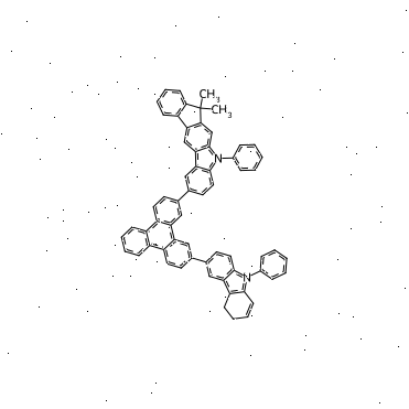 CC1(C)c2ccccc2-c2cc3c4cc(-c5ccc6c7ccccc7c7ccc(-c8ccc9c(c8)c8c(n9-c9ccccc9)C=CCC8)cc7c6c5)ccc4n(-c4ccccc4)c3cc21